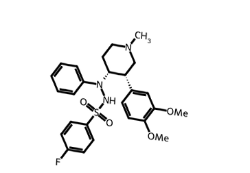 COc1ccc([C@H]2CN(C)CC[C@H]2N(NS(=O)(=O)c2ccc(F)cc2)c2ccccc2)cc1OC